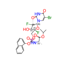 CC(C)OC(=O)[C@H](C)N[P@@](=O)(OC[C@@]1(F)O[C@@H](n2cc(Br)c(=O)[nH]c2=O)[C@](C)(F)[C@@H]1O)Oc1cccc2ccccc12